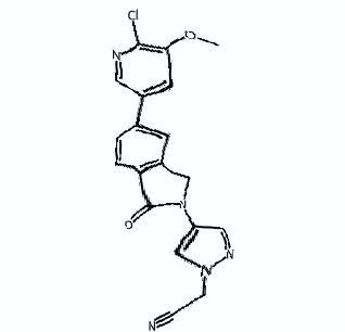 COc1cc(-c2ccc3c(c2)CN(c2cnn(CC#N)c2)C3=O)cnc1Cl